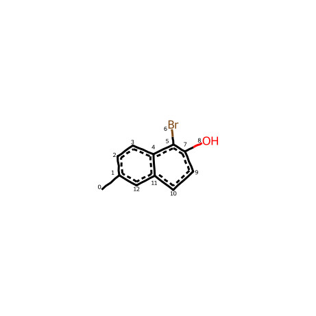 Cc1ccc2c(Br)c(O)ccc2c1